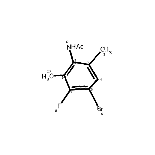 CC(=O)Nc1c(C)cc(Br)c(F)c1C